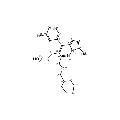 CCc1ccc2c(-c3cncc(Br)c3)c(CCC(=O)O)c(COCC3CCCCC3)nn12